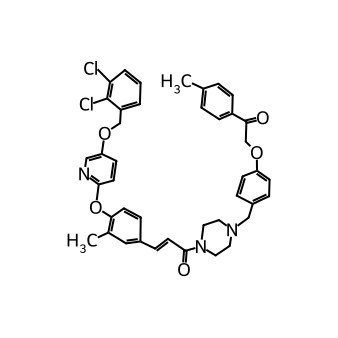 Cc1ccc(C(=O)COc2ccc(CN3CCN(C(=O)/C=C/c4ccc(Oc5ccc(OCc6cccc(Cl)c6Cl)cn5)c(C)c4)CC3)cc2)cc1